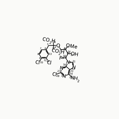 CO[C@H](COC(Cc1ccc(Cl)c(Cl)c1)(C(=O)O)C(=O)O)[C@@H](O)[C@H](F)n1cnc2c(N)nc(Cl)nc21